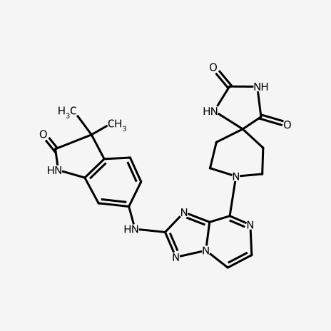 CC1(C)C(=O)Nc2cc(Nc3nc4c(N5CCC6(CC5)NC(=O)NC6=O)nccn4n3)ccc21